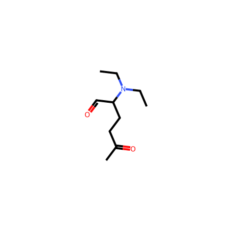 CCN(CC)C(C=O)CCC(C)=O